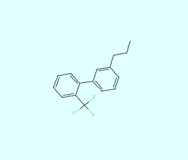 CCCc1cccc(-c2ccccc2C(F)(F)F)c1